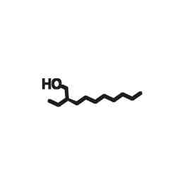 CCCCCCCC[C@@H](CC)CO